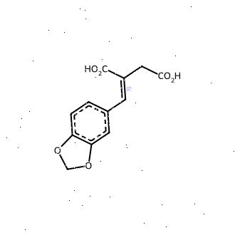 O=C(O)C/C(=C/c1ccc2c(c1)OCO2)C(=O)O